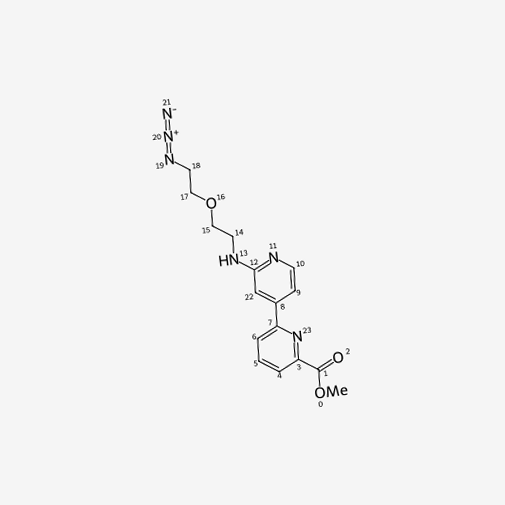 COC(=O)c1cccc(-c2ccnc(NCCOCCN=[N+]=[N-])c2)n1